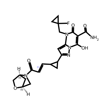 NC(=O)c1c(O)n2nc(C3CC3/C=C/C(=O)N3C[C@@H]4C[C@H]3CO4)cc2n(CC2(F)CC2)c1=O